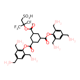 BCc1cc(CB)c(OC(=O)C2CC(C(=O)Oc3c(CB)cc(CB)cc3CB)CC(C(=O)OC(CS(=O)(=O)O)(C(F)(F)F)C(F)(F)F)C2)c(CB)c1